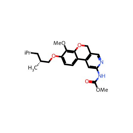 COC(=O)Nc1cc2c(cn1)COc1c-2ccc(OC[C@H](C)CC(C)C)c1OC